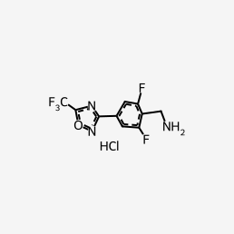 Cl.NCc1c(F)cc(-c2noc(C(F)(F)F)n2)cc1F